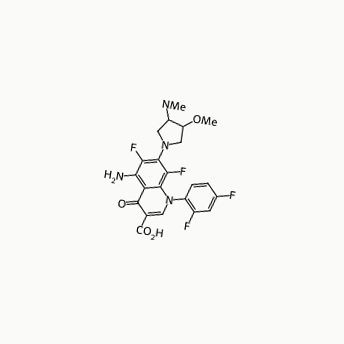 CNC1CN(c2c(F)c(N)c3c(=O)c(C(=O)O)cn(-c4ccc(F)cc4F)c3c2F)CC1OC